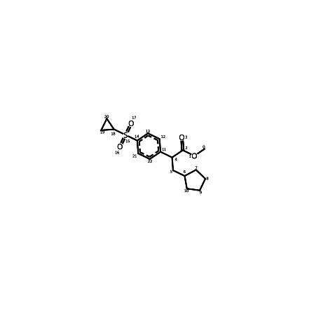 COC(=O)C(CC1CCCC1)c1ccc(S(=O)(=O)C2CC2)cc1